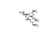 NCCCCNCCCCN.NCCN(CCN)CCN